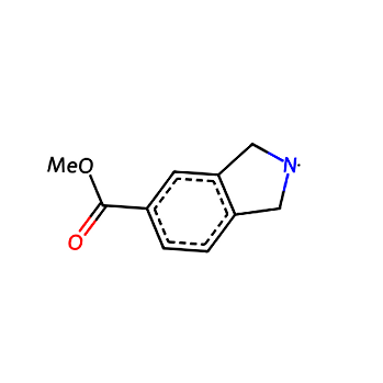 COC(=O)c1ccc2c(c1)C[N]C2